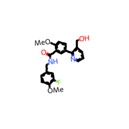 COc1ccc(CNC(=O)c2cc(-c3ncccc3CO)ccc2OC)cc1F